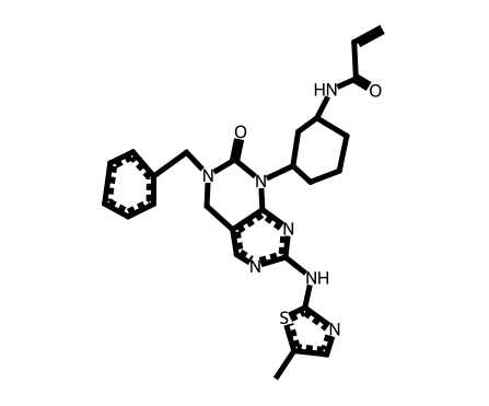 C=CC(=O)NC1CCCC(N2C(=O)N(Cc3ccccc3)Cc3cnc(Nc4ncc(C)s4)nc32)C1